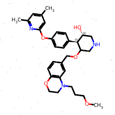 COCCCN1CCOc2ccc(COC3CNC[C@@H](O)[C@@H]3c3ccc(Oc4cc(C)cc(C)n4)cc3)cc21